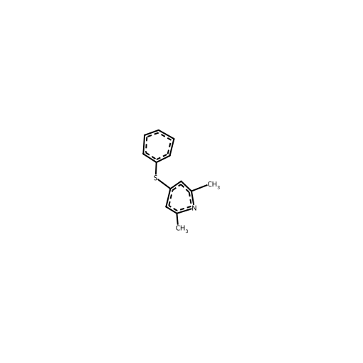 Cc1cc(Sc2ccccc2)cc(C)n1